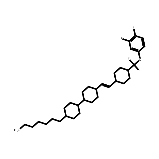 CCCCCCCC1CCC(C2CCC(/C=C/C3CCC(C(F)(F)Oc4ccc(F)c(F)c4)CC3)CC2)CC1